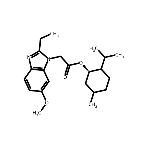 CCc1nc2ccc(OC)cc2n1CC(=O)O[C@@H]1CC(C)CCC1C(C)C